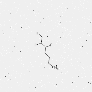 CCCCC(F)C(F)CF